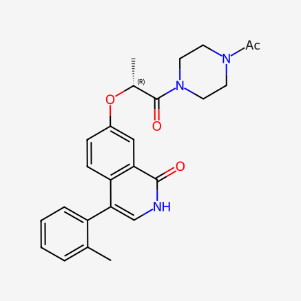 CC(=O)N1CCN(C(=O)[C@@H](C)Oc2ccc3c(-c4ccccc4C)c[nH]c(=O)c3c2)CC1